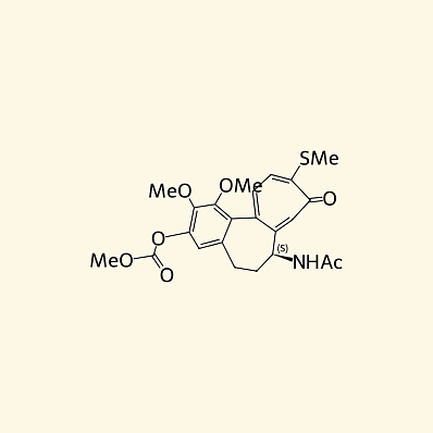 COC(=O)Oc1cc2c(c(OC)c1OC)-c1ccc(SC)c(=O)cc1[C@@H](NC(C)=O)CC2